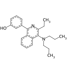 CCCN(CCC)c1c(CC)nc(-c2cccc(O)c2)c2ccccc12